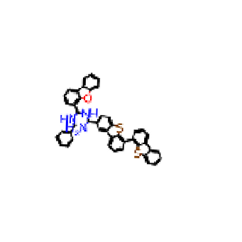 NC(NC(NCc1ccccc1)c1cccc2c1oc1ccccc12)c1ccc2sc3c(-c4cccc5c4sc4ccccc45)cccc3c2c1